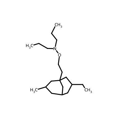 CCCN(CCC)OCCC12CC(C)CC(CC(CC)C1)C2